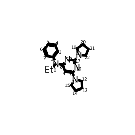 [CH2]CN(c1ccccc1)c1cc(N2CCCC2)nc(N2CCCC2)n1